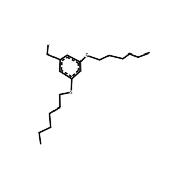 [CH2]Cc1cc(SCCCCCC)cc(SCCCCCC)c1